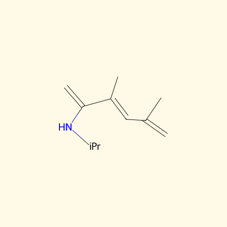 C=C(C)C=C(C)C(=C)NC(C)C